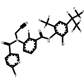 N#CCN(C(=O)c1ccc(F)nc1)c1cccc(C(=O)Nc2c(Br)cc(C(F)(C(F)(F)F)C(F)(F)F)cc2C(F)(F)F)c1F